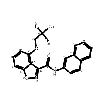 O=C(Nc1ccc2ccccc2c1)c1noc2cccc(OCC(F)(F)F)c12